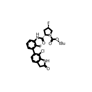 CC(C)(C)OC(=O)N1C[C@H](F)C[C@H]1C(=O)Nc1cccc(-c2ccc3c(c2Cl)NC(=O)C3)c1F